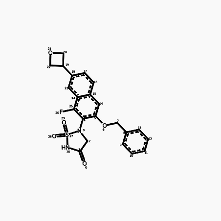 O=C1CN(c2c(OCc3ccccc3)cc3ccc(C4COC4)cc3c2F)S(=O)(=O)N1